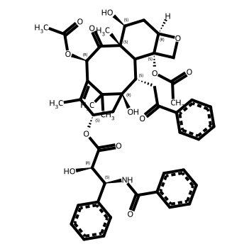 CC(=O)O[C@H]1C(=O)[C@@]2(C)C([C@H](CC(=O)c3ccccc3)[C@]3(O)C[C@H](OC(=O)[C@H](O)[C@@H](NC(=O)c4ccccc4)c4ccccc4)C(C)=C1C3(C)C)[C@]1(OC(C)=O)CO[C@@H]1C[C@@H]2O